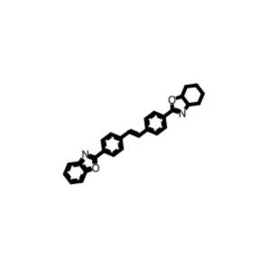 C(=C\c1ccc(-c2nc3ccccc3o2)cc1)/c1ccc(C2=NC3CCCCC3O2)cc1